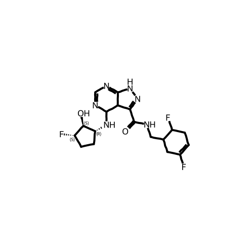 O=C(NCC1CC(F)=CCC1F)C1=NNC2=NC=NC(N[C@@H]3CC[C@H](F)[C@H]3O)C21